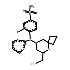 NS(=O)(=O)c1ccc(N(c2ncccn2)N2CC(CO)OC3(CCC3)C2)c(F)c1